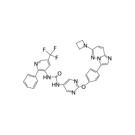 O=C(Nc1cnc(Oc2ccc(-c3cnc4ccc(N5CCC5)nn34)cc2)nc1)Nc1cc(C(F)(F)F)cnc1-c1ccccc1